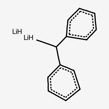 CC(c1ccccc1)c1ccccc1.[LiH].[LiH]